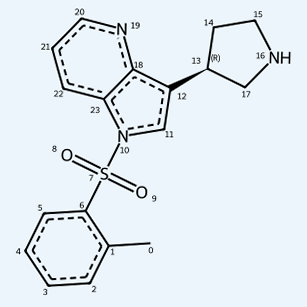 Cc1ccccc1S(=O)(=O)n1cc([C@H]2CCNC2)c2ncccc21